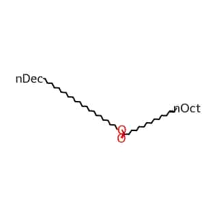 CCCCCCCCC=CCCCCCCCCCCCC(=O)OCCCCCCCCCCCCCCCCCCCCCCCCCCCCCCCC